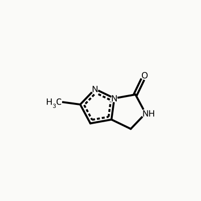 Cc1cc2n(n1)C(=O)NC2